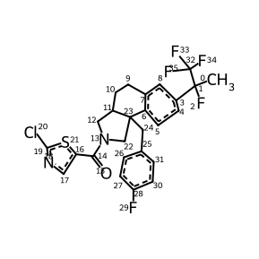 CC(F)(c1ccc2c(c1)CCC1CN(C(=O)c3cnc(Cl)s3)CC21Cc1ccc(F)cc1)C(F)(F)F